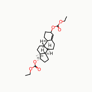 CCOC(=O)OC1C=C2CC[C@@H]3[C@H](CC[C@]4(C)[C@@H](OC(=O)OCC)CC[C@@H]34)[C@H]2CC1